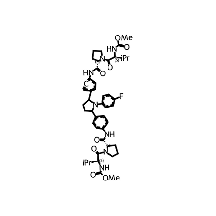 COC(=O)N[C@H](C(=O)N1CCC[C@H]1C(=O)Nc1ccc(C2CCC(c3ccc(NC(=O)[C@@H]4CCCN4C(=O)[C@@H](NC(=O)OC)C(C)C)cc3)N2c2ccc(F)cc2)cc1)C(C)C